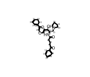 O=C(CCCC(=O)c1ccccc1)N[C@H](CN1CCCC1)[C@@H](O)C1=COC=C(C2=CC=CCC2)O1